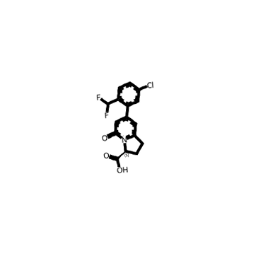 O=C(O)[C@@H]1CCc2cc(-c3cc(Cl)ccc3C(F)F)cc(=O)n21